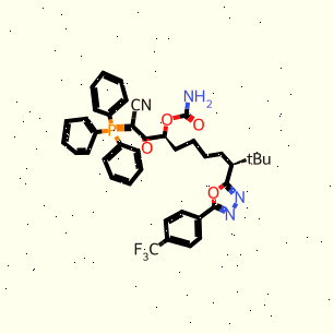 CC(C)(C)[C@H](CCCC[C@H](OC(N)=O)C(=O)C(C#N)=P(c1ccccc1)(c1ccccc1)c1ccccc1)c1nnc(-c2ccc(C(F)(F)F)cc2)o1